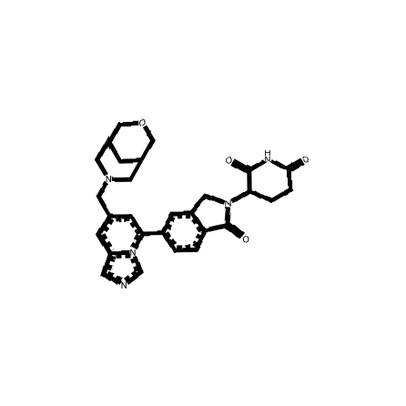 O=C1CCC(N2Cc3cc(-c4cc(CN5CC6COCC(C6)C5)cc5cncn45)ccc3C2=O)C(=O)N1